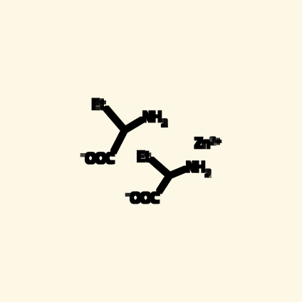 CCC(N)C(=O)[O-].CCC(N)C(=O)[O-].[Zn+2]